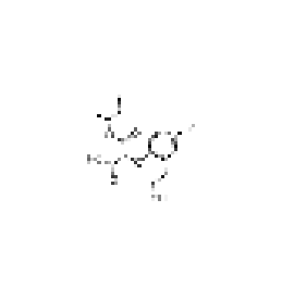 CCC(C)OC(=O)C(Oc1ccc(Br)cc1CCO)C(=O)O